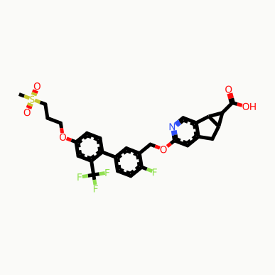 CS(=O)(=O)CCCOc1ccc(-c2ccc(F)c(COc3cc4c(cn3)C3C(C4)C3C(=O)O)c2)c(C(F)(F)F)c1